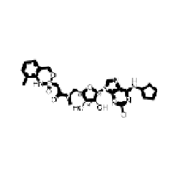 Cc1cccc2c1NP(=O)(CC(=O)N(C)C[C@H]1O[C@@H](n3cnc4c(NC5CCCC5)nc(Cl)nc43)[C@H](O)[C@@H]1O)OC2